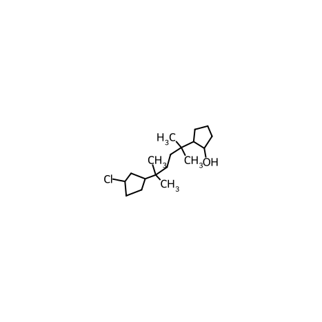 CC(C)(CCC(C)(C)C1CCCC1O)C1CCC(Cl)C1